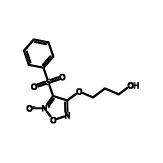 O=S(=O)(c1ccccc1)c1c(OCCCO)no[n+]1[O-]